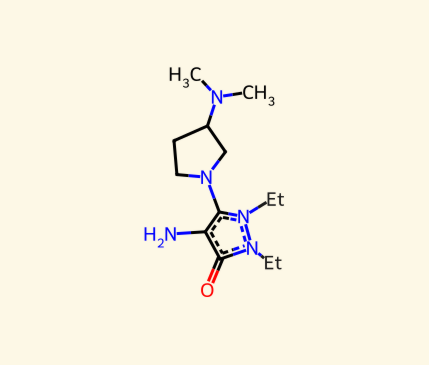 CCn1c(N2CCC(N(C)C)C2)c(N)c(=O)n1CC